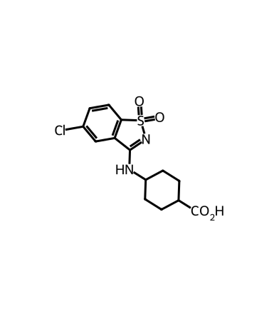 O=C(O)C1CCC(NC2=NS(=O)(=O)c3ccc(Cl)cc32)CC1